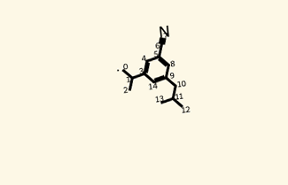 [CH2]C(C)c1cc(C#N)cc(CC(C)C)c1